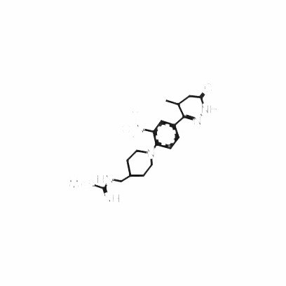 CSC(=N)NCC1CCN(c2ccc(C3=NNC(=O)CC3C)cc2[N+](=O)[O-])CC1.I